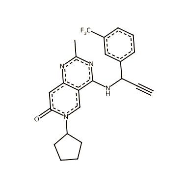 C#CC(Nc1nc(C)nc2cc(=O)n(C3CCCC3)cc12)c1cccc(C(F)(F)F)c1